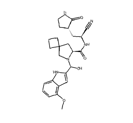 COc1cccc2[nH]c(C(O)N3CC4(CCC4)C[C@H]3C(=O)N[C@H](C#N)C[C@@H]3CCNC3=O)cc12